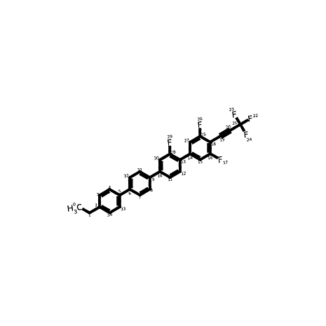 CCc1ccc(-c2ccc(-c3ccc(-c4cc(F)c(C#CC(F)(F)F)c(F)c4)c(F)c3)cc2)cc1